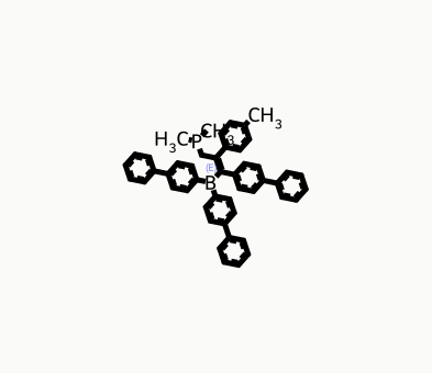 Cc1ccc(/C(CP(C)C)=C(/B(c2ccc(-c3ccccc3)cc2)c2ccc(-c3ccccc3)cc2)c2ccc(-c3ccccc3)cc2)cc1